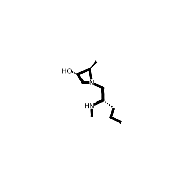 CCC[C@@H](CN1C[C@H](O)[C@H]1C)NC